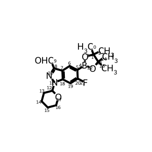 CC1(C)OB(c2cc3c(C=O)nn(C4CCCCO4)c3cc2F)OC1(C)C